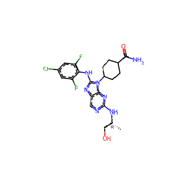 C[C@H](CO)Nc1ncc2nc(Nc3c(F)cc(Cl)cc3F)n(C3CCC(C(N)=O)CC3)c2n1